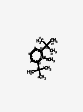 C[n+]1c(C(C)(C)C)cccc1C(C)(C)C